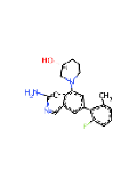 Cc1cccc(F)c1-c1cc(N2CCC[C@@H](O)C2)c2cc(N)ncc2c1